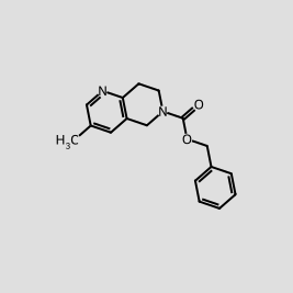 Cc1cnc2c(c1)CN(C(=O)OCc1ccccc1)CC2